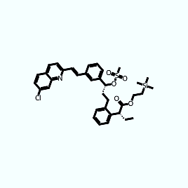 CC[C@@H](C(=O)OCC[Si](C)(C)C)c1ccccc1CC[C@@H](OS(C)(=O)=O)c1cccc(C=Cc2ccc3ccc(Cl)cc3n2)c1